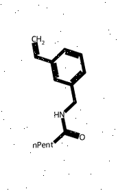 C=Cc1cccc(CNC(=O)CCCCC)c1